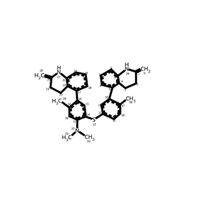 C=C1CCc2c(cccc2-c2cc(Sc3cc(-c4cccc5c4CCC(=C)N5)c(C)cc3N(C)C)ccc2C)N1